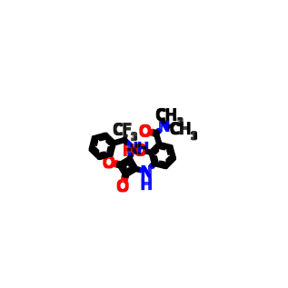 CN(C)C(=O)c1cccc(Nc2c(N[C@@H](c3ccccc3)C(F)(F)F)c(=O)c2=O)c1O